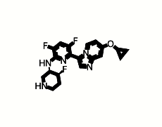 Fc1cc(F)c(-c2cnc3cc(OC4CC4)ccn23)nc1N[C@H]1CNCC[C@@H]1F